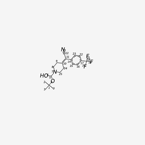 CC(C)(C)OC(O)N1CCC(=C(C#N)c2ccc(C(F)(F)F)cc2)CC1